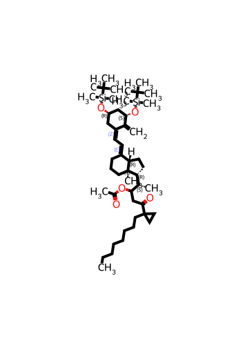 C=C1/C(=C\C=C2/CCC[C@]3(C)[C@@H]([C@H](C)C(CC(=O)C4(CCCCCCCC)CC4)OC(C)=O)CC[C@@H]23)C[C@@H](O[Si](C)(C)C(C)(C)C)C[C@@H]1O[Si](C)(C)C(C)(C)C